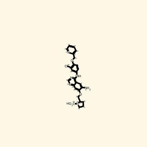 Nc1cc2c(Nc3ccc(OCc4ccccn4)c(Cl)c3)ncnc2cc1OCC1CCCN1C(=O)O